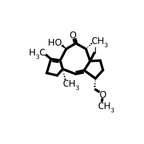 COC[C@H]1CCC2(I)/C1=C\[C@@]1(C)CCC(C)=C1[C@@H](O)C(=O)[C@@H]2C